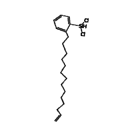 C=CCCCCCCCCCCCCc1ccccc1[SiH](Cl)Cl